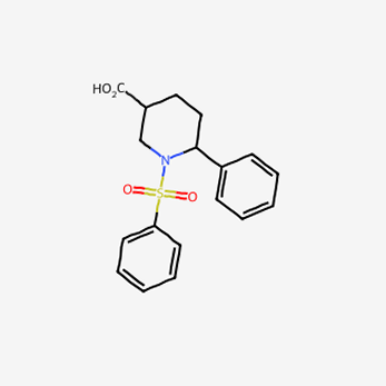 O=C(O)C1CCC(c2ccccc2)N(S(=O)(=O)c2ccccc2)C1